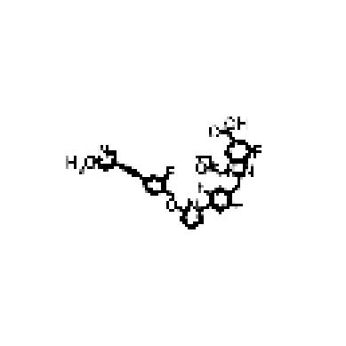 Cn1cc(C#Cc2ccc(COc3cccc(-c4cc(F)c(Cc5nc6c(F)cc(C(=O)O)cc6n5C[C@@H]5CCO5)cc4F)n3)c(F)c2)cn1